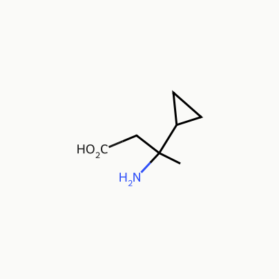 CC(N)(CC(=O)O)C1CC1